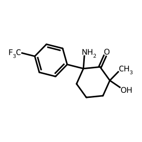 CC1(O)CCCC(N)(c2ccc(C(F)(F)F)cc2)C1=O